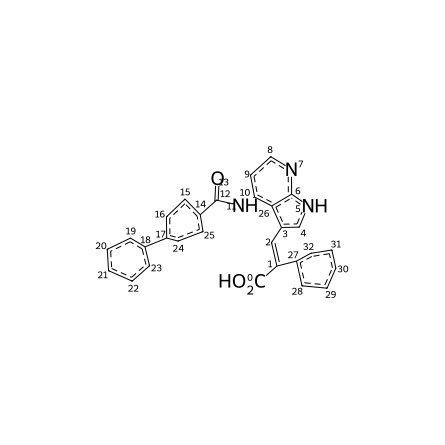 O=C(O)C(=Cc1c[nH]c2nccc(NC(=O)c3ccc(-c4ccccc4)cc3)c12)c1ccccc1